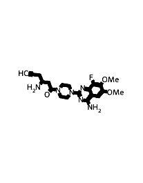 C#CCC(N)CC(=O)N1CCN(c2nc(N)c3cc(OC)c(OC)c(F)c3n2)CC1